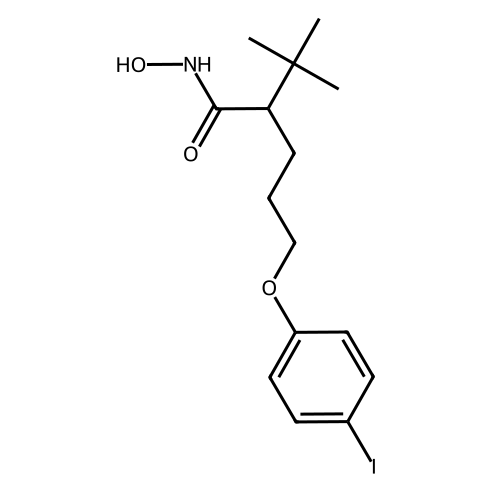 CC(C)(C)C(CCCOc1ccc(I)cc1)C(=O)NO